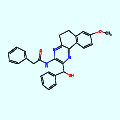 COc1ccc2c(c1)CCc1nc(NC(=O)Cc3ccccc3)c(C(O)c3ccccc3)nc1-2